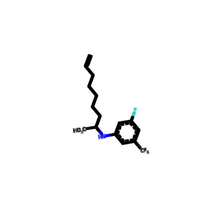 C=CCCCCCC(Nc1cc(F)cc(C(F)(F)F)c1)C(=O)O